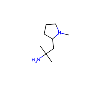 CN1CCCC1CC(C)(C)N